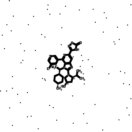 CC(C)[C@H]1C[C@@H](O)CN1c1nc2cc(-c3noc(=O)[nH]3)nc(-c3cncc(Cl)c3)c2n1C(C)[C@H]1CC[C@H](C)CC1